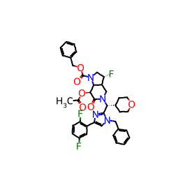 CC(=O)O[C@@H]1C(=O)N([C@@H](c2nc(-c3cc(F)ccc3F)cn2Cc2ccccc2)C2CCOCC2)CC2C1N(C(=O)OCc1ccccc1)C[C@@H]2F